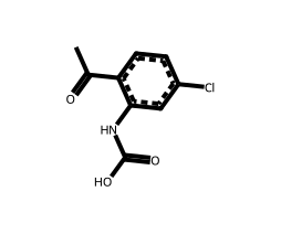 CC(=O)c1ccc(Cl)cc1NC(=O)O